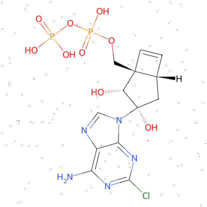 Nc1nc(Cl)nc2c1ncn2[C@]1(O)C[C@H]2C=C[C@@]2(COP(=O)(O)OP(=O)(O)O)[C@H]1O